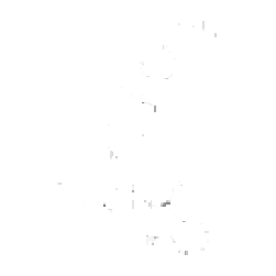 COc1ccc(S(=O)(=O)C2CCN(CC(=O)N(Cc3nc4ccccc4c(=O)[nH]3)CC3CC3)CC2)cc1